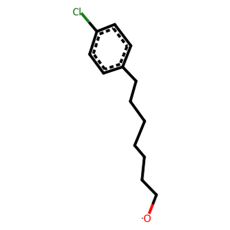 [O]CCCCCCCc1ccc(Cl)cc1